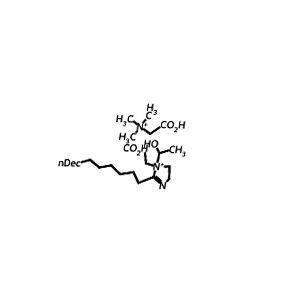 CCCCCCCCCCCCCCCCC1=NCC[N+]1(CC(=O)O)C(C)O.C[N+](C)(C)CC(=O)O